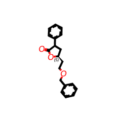 O=C1O[C@H](CCOCc2ccccc2)CC1c1ccccc1